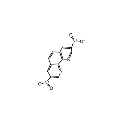 O=[N+]([O-])c1cnc2c(ccc3cc([N+](=O)[O-])cnc32)c1